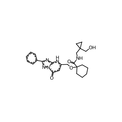 O=C(NCC1(CO)CC1)C1(OCc2cc(=O)n3nc(-c4ccccc4)nc3[nH]2)CCCCC1